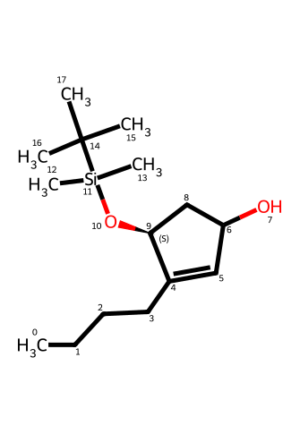 CCCCC1=CC(O)C[C@@H]1O[Si](C)(C)C(C)(C)C